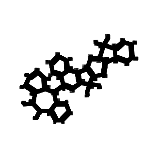 CC1c2ccccc2N(c2cc3c(c4ccccc24)-c2cc4c(cc2C3(C)C)-c2ccccc2C4(C)C)c2ccccc2C1C